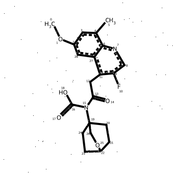 COc1cc(C)c2ncc(F)c(CC(=O)N(C(=O)O)C34CCC(CC3)OC4)c2c1